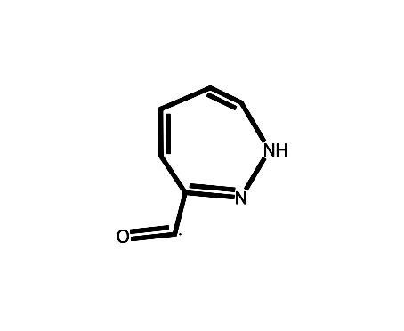 O=[C]C1=NNC=CC=C1